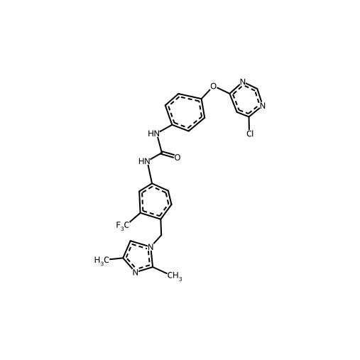 Cc1cn(Cc2ccc(NC(=O)Nc3ccc(Oc4cc(Cl)ncn4)cc3)cc2C(F)(F)F)c(C)n1